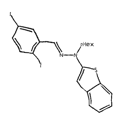 CCCCCCN(/N=C/c1cc(I)ccc1I)c1cc2ccccc2s1